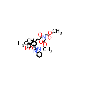 CCOC(=O)CN(CC(=O)OCC)C(=O)CCc1cc(-n2nc3ccccc3n2)c(O)c(C(C)(C)C)c1